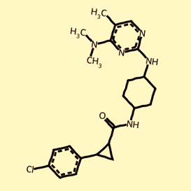 Cc1cnc(NC2CCC(NC(=O)C3CC3c3ccc(Cl)cc3)CC2)nc1N(C)C